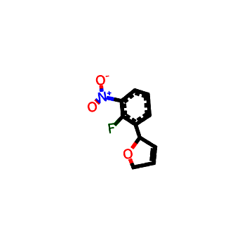 O=[N+]([O-])c1cccc(C2C=CCO2)c1F